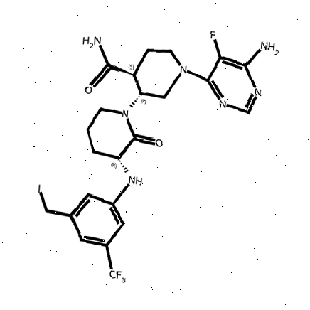 NC(=O)[C@H]1CCN(c2ncnc(N)c2F)C[C@@H]1N1CCC[C@@H](Nc2cc(CI)cc(C(F)(F)F)c2)C1=O